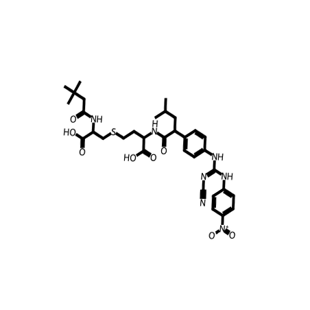 CC(C)CC(C(=O)NC(CCSCC(NC(=O)CC(C)(C)C)C(=O)O)C(=O)O)c1ccc(NC(=NC#N)Nc2ccc([N+](=O)[O-])cc2)cc1